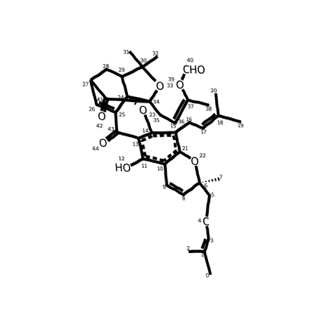 CC(C)=CCC[C@@]1(C)C=Cc2c(O)c3c(c(CC=C(C)C)c2O1)O[C@]12C(=CC4CC1C(C)(C)OC2(C/C=C(/C)OC=O)C4=O)C3=O